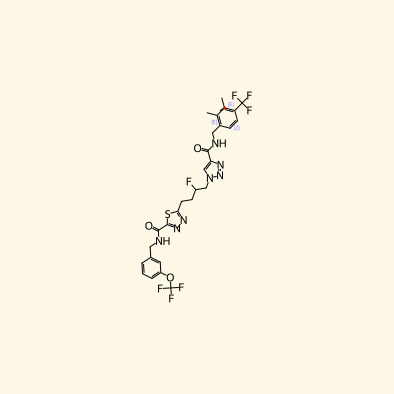 C\C=C(/C=C\C(CNC(=O)c1cn(CC(F)CCc2nnc(C(=O)NCc3cccc(OC(F)(F)F)c3)s2)nn1)=C(\C)CC)C(F)(F)F